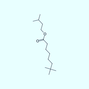 CC(C)CCOC(=O)CCCCCC(C)(C)C